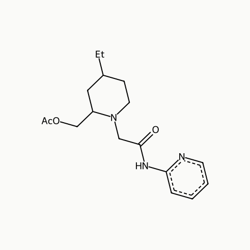 CCC1CCN(CC(=O)Nc2ccccn2)C(COC(C)=O)C1